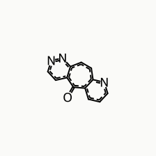 O=c1c2cccnc2ccc2nnccc12